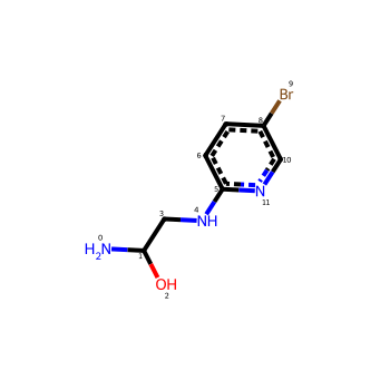 NC(O)CNc1ccc(Br)cn1